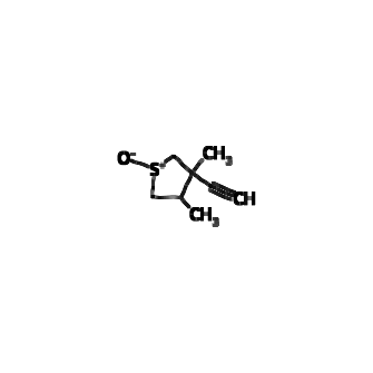 C#CC1(C)C[S+]([O-])CC1C